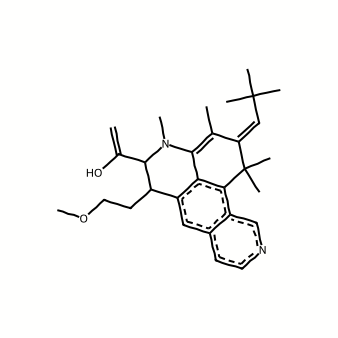 C=C(O)C1C(CCOC)c2cc3ccncc3c3c2C(=C(C)/C(=C\C(C)(C)C)C3(C)C)N1C